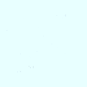 CCCCNC(=O)CCC(CCC(=O)O)(Sc1ccccc1)Sc1ccccc1